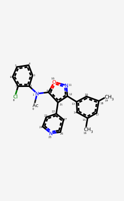 CC(=O)N(c1ccccc1Cl)c1onc(-c2cc(C)cc(C)c2)c1-c1ccncc1